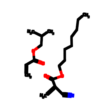 C=C(C#N)C(=O)OCCCCCCCC.C=CC(=O)OCC(C)C